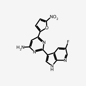 Nc1cc(-c2ccc([N+](=O)[O-])o2)nc(-c2c[nH]c3ncc(F)cc23)n1